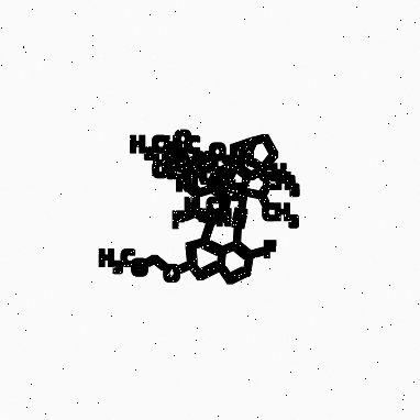 COCOc1cc(-c2ncc3c(N4CC5CCC(C4)N5C(=O)OC(C)(C)C)nc(S(C)(=O)=O)nc3c2F)c2c(C#C[Si](C(C)C)(C(C)C)C(C)C)c(F)ccc2c1